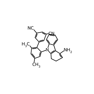 Cc1cc(C)c(-c2cc(C#N)cc(C#N)c2)c(-n2c3c(c4ccccc42)C(N)=CCC3)c1